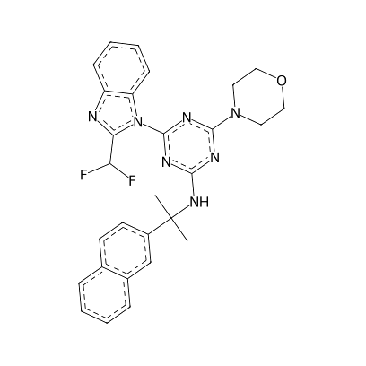 CC(C)(Nc1nc(N2CCOCC2)nc(-n2c(C(F)F)nc3ccccc32)n1)c1ccc2ccccc2c1